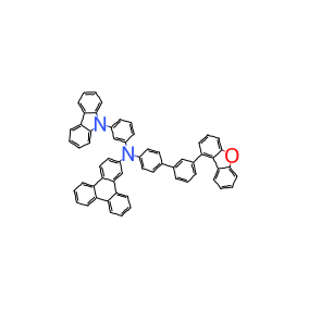 c1cc(-c2ccc(N(c3cccc(-n4c5ccccc5c5ccccc54)c3)c3ccc4c5ccccc5c5ccccc5c4c3)cc2)cc(-c2cccc3oc4ccccc4c23)c1